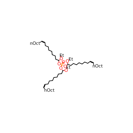 CCCCCCCC/C=C\CCCCCCCC(OCC)OP(=O)(OC(CCCCCCC/C=C\CCCCCCCC)OCC)OC(CCCCCCC/C=C\CCCCCCCC)OCC